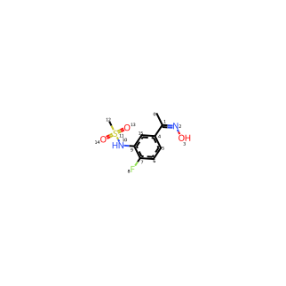 C/C(=N/O)c1ccc(F)c(NS(C)(=O)=O)c1